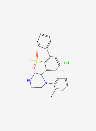 Cc1ccccc1N1CCNCC1c1cccc(-c2ccccc2)c1S(C)(=O)=O.Cl